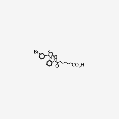 O=C(O)CCCCCC(=O)Nc1ccccc1N1C(=O)CSC1c1cccc(Br)c1